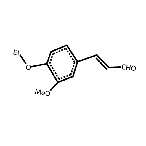 CCOc1ccc(C=CC=O)cc1OC